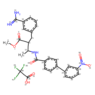 COC(=O)C(Cc1cccc(C(=N)N)c1)C(C)NC(=O)c1ccc(-c2cccc([N+](=O)[O-])c2)cc1.O=C(O)C(F)(F)F